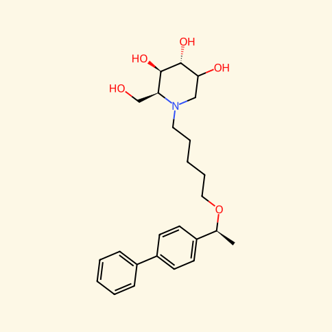 C[C@H](OCCCCCN1CC(O)[C@@H](O)[C@H](O)[C@@H]1CO)c1ccc(-c2ccccc2)cc1